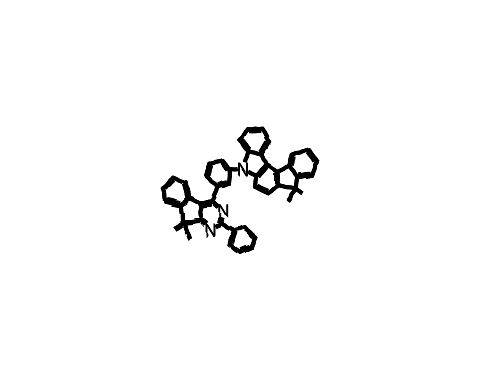 CC1(C)c2ccccc2-c2c1ccc1c2c2ccccc2n1-c1cccc(-c2nc(-c3ccccc3)nc3c2-c2ccccc2C3(C)C)c1